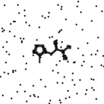 CCN(CC)C(=O)Cn1c[c]nc1C